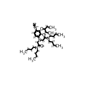 CCCCN(CCCC)C(=O)CN(CC(=O)N(CCCC)CCCC)c1ccc([N+]#N)c(OC(CC)CC)c1